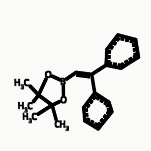 CC1(C)OB(C=C(c2ccccc2)c2ccccc2)OC1(C)C